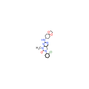 CN1C(=O)N(c2ccccc2Cl)Cc2cnc(NC3CCC4(CC3)OCCO4)nc21